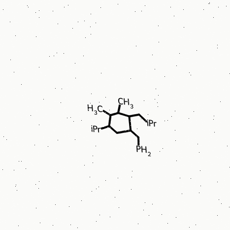 CC(C)CC1C(CP)CC(C(C)C)C(C)C1C